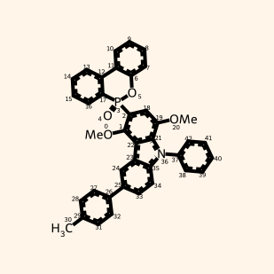 COc1c(P2(=O)Oc3ccccc3-c3ccccc32)cc(OC)c2c1c1cc(-c3ccc(C)cc3)ccc1n2-c1ccccc1